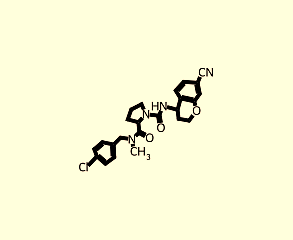 CN(Cc1ccc(Cl)cc1)C(=O)C1CCCN1C(=O)NC1CCOc2cc(C#N)ccc21